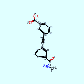 CNC(=O)c1cccc(C#Cc2cccc(C(=O)O)c2)c1